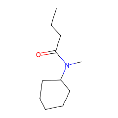 CCCC(=O)N(C)C1CCCCC1